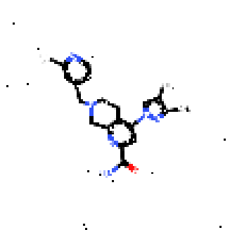 Cc1cn(-c2cc(C(N)=O)nc3c2CCN(Cc2ccnc(C(F)(F)F)c2)C3)nc1C